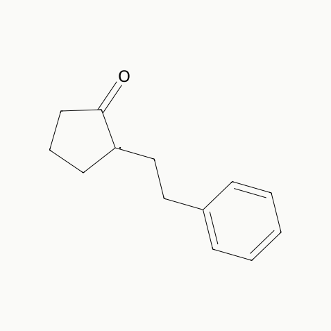 O=C1CCC[C]1CCc1ccccc1